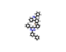 c1ccc(-c2cccc(-c3nc(-c4ccccc4)cc(-c4cccc5c4sc4c5ccc5c(-c6ccccc6)nc6ccccc6c54)n3)c2)cc1